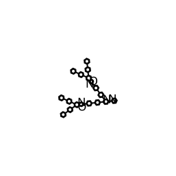 c1ccc(-c2ccc(-c3cc4nc(-c5ccc(-c6ccc(-c7ccc(-c8ccccn8)nc7-c7ccc(-c8ccc(-c9nc%10cc(-c%11ccc(-c%12ccccc%12)cc%11)c(-c%11ccc(-c%12ccccc%12)cc%11)cc%10o9)cc8)cc7)cc6)cc5)oc4cc3-c3ccc(-c4ccccc4)cc3)cc2)cc1